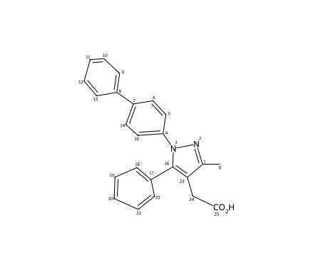 Cc1nn(-c2ccc(-c3ccccc3)cc2)c(-c2ccccc2)c1CC(=O)O